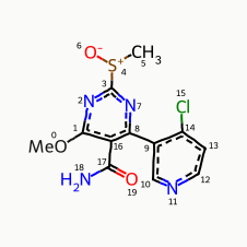 COc1nc([S+](C)[O-])nc(-c2cnccc2Cl)c1C(N)=O